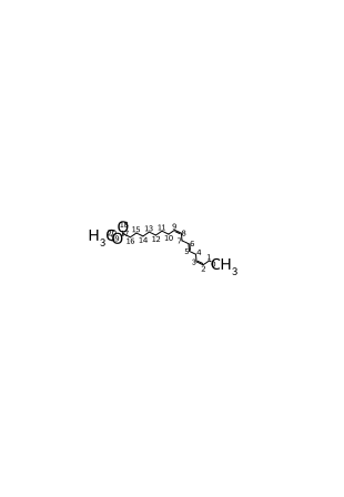 CC/C=C\C/C=C/C/C=C\CCCCCCCC(=O)OC